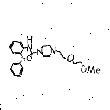 COCCOCCN1CCN(C(=O)Nc2ccccc2Sc2ccccc2)CC1